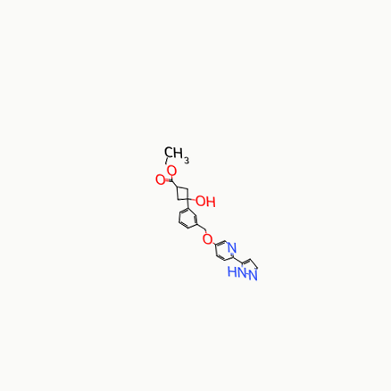 CCOC(=O)C1CC(O)(c2cccc(COc3ccc(-c4ccn[nH]4)nc3)c2)C1